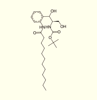 CCCCCCCCCCCC(=O)Nc1ccccc1C(O)[C@@H](CO)NC(=O)OC(C)(C)C